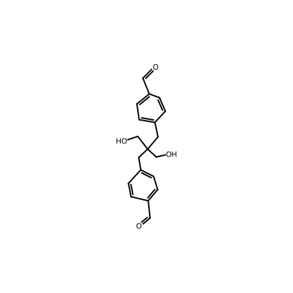 O=Cc1ccc(CC(CO)(CO)Cc2ccc(C=O)cc2)cc1